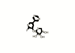 O[C@@H]1[C@@H](O)[C@@H](Oc2cc(-c3cncnc3)cnc2F)SC[C@H]1O